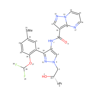 CCC[C@H](O)Cn1cc(NC(=O)c2cnn3cccnc23)c(-c2cc(SC)ccc2OC(F)F)n1